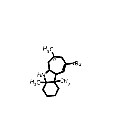 C[C@H]1CC(C(C)(C)C)=CC2C(C1)NC1(C)CCCCC21C